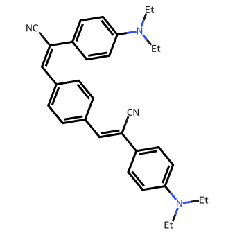 CCN(CC)c1ccc(C(C#N)=Cc2ccc(C=C(C#N)c3ccc(N(CC)CC)cc3)cc2)cc1